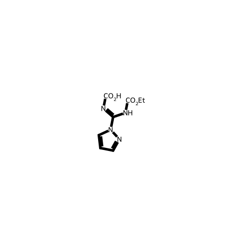 CCOC(=O)NC(=NC(=O)O)n1cccn1